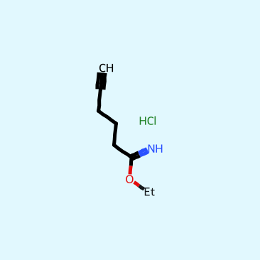 C#CCCCC(=N)OCC.Cl